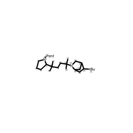 CCCC(C)N1CCCC1C(C)(C)CCC(C)(C)N1CC2CC1CC2C(C)(C)C